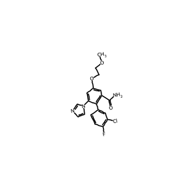 COCCOc1cc(C(N)=O)c(-c2ccc(F)c(Cl)c2)c(-n2ccnc2)c1